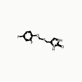 O=c1[nH]cc(CSCOc2ccc(F)cc2F)[nH]1